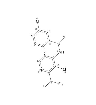 CC(F)c1ncnc(NC(C)c2cccc(Cl)c2)c1Cl